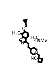 CNC.Cc1c(OCC2CC2)ccc2c(CCC3CCN(CC4(C#N)CCC4)CC3)noc12